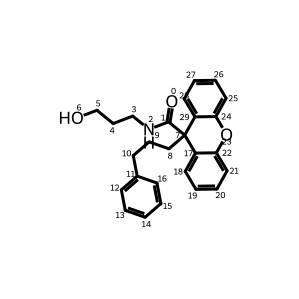 O=C(NCCCO)C1(CCCc2ccccc2)c2ccccc2Oc2ccccc21